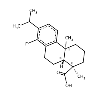 CC(C)c1ccc2c(c1F)CC[C@H]1[C@](C)(C(=O)O)CCC[C@]21C